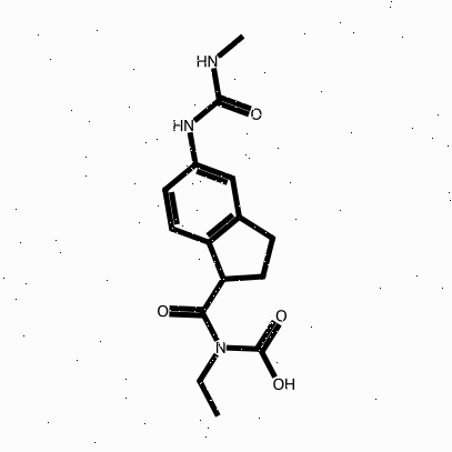 CCN(C(=O)O)C(=O)C1CCc2cc(NC(=O)NC)ccc21